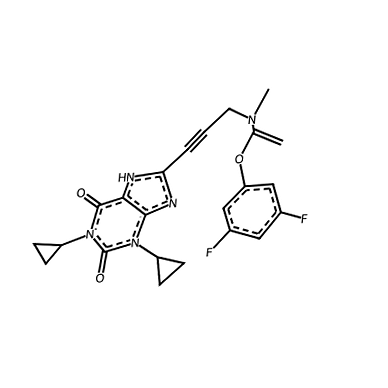 C=C(Oc1cc(F)cc(F)c1)N(C)CC#Cc1nc2c([nH]1)c(=O)n(C1CC1)c(=O)n2C1CC1